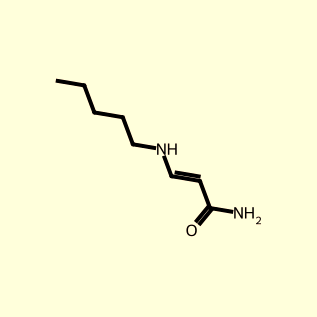 CCCCCNC=CC(N)=O